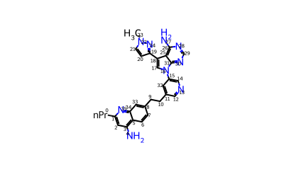 CCCc1cc(N)c2ccc(CCc3cncc(-n4cc(-c5ccn(C)n5)c5c(N)ncnc54)c3)cc2n1